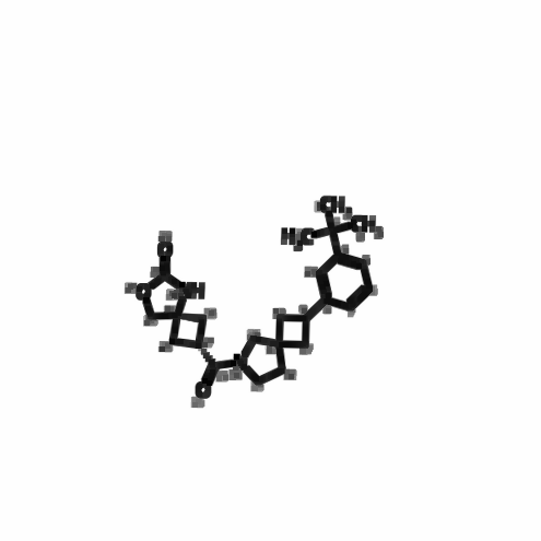 CC(C)(C)c1cccc(C2CC3(CCN(C(=O)[C@H]4C[C@]5(COC(=O)N5)C4)C3)C2)c1